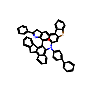 c1ccc(C2=Nc3c(cccc3-c3c4c(c5ccccc5c3N(c3ccc(-c5ccccc5)cc3)c3ccc5c(c3)sc3ccccc35)Cc3ccccc3-4)C2)cc1